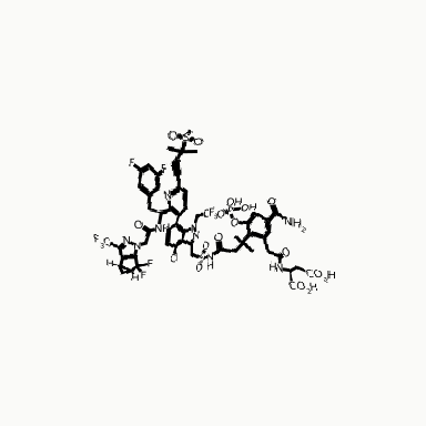 CC(C)(CC(=O)NS(=O)(=O)Cc1nn(CC(F)(F)F)c2c(-c3ccc(C#CC(C)(C)S(C)(=O)=O)nc3[C@H](Cc3cc(F)cc(F)c3)NC(=O)Cn3nc(C(F)(F)F)c4c3C(F)(F)[C@@H]3C[C@H]43)ccc(Cl)c12)c1c(CC(=O)N[C@@H](CC(=O)O)C(=O)O)cc(C(N)=O)cc1OP(=O)(O)O